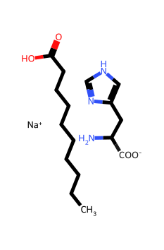 CCCCCCCCCC(=O)O.NC(Cc1c[nH]cn1)C(=O)[O-].[Na+]